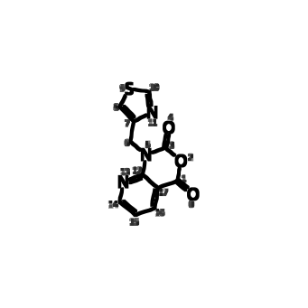 O=c1oc(=O)n(Cc2cscn2)c2ncccc12